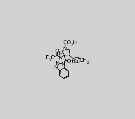 C=CC(C1CN(C(=O)O)CC1(NC(=O)C(F)(F)F)C(=O)n1nnc2ccccc21)C(C)(C)C